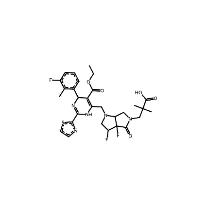 CCOC(=O)C1=C(CN2CC(F)C3(F)C(=O)N(CC(C)(C)C(=O)O)CC23)NC(c2nccs2)=NC1c1cccc(F)c1C